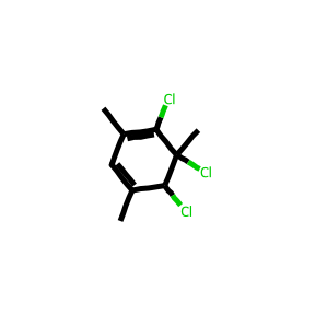 CC1=CC(C)=C(Cl)C(C)(Cl)C1Cl